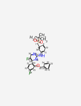 CC(C)(C)S(=O)(=O)Cc1cccc(Nc2ncc(F)c(-c3ccc(F)cc3OCc3ccccc3)n2)c1